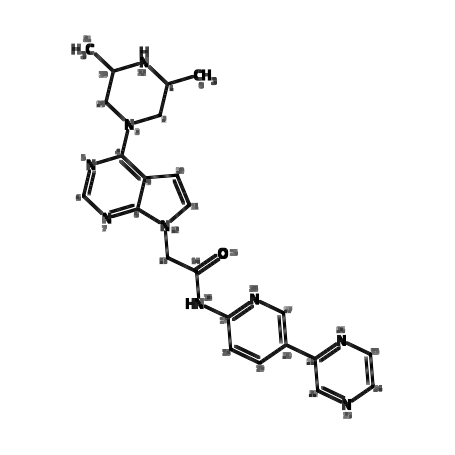 CC1CN(c2ncnc3c2ccn3CC(=O)Nc2ccc(-c3cnccn3)cn2)CC(C)N1